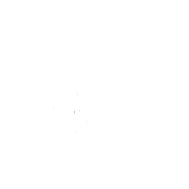 CC(C)CCC[C@@H](C)[C@H]1CCC2C3CC=C4CCCC[C@]4(C)C3CC(OC(=O)CCCCCCCCCCCCCCCCCO)[C@@]21C